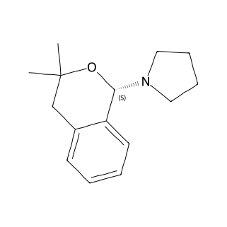 CC1(C)Cc2ccccc2[C@@H](N2CCCC2)O1